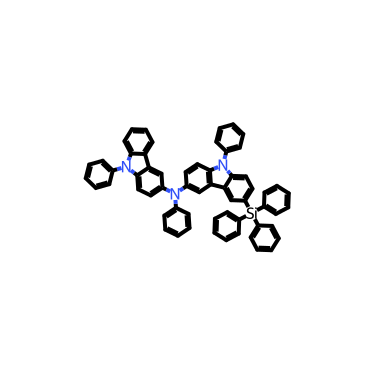 c1ccc(N(c2ccc3c(c2)c2ccccc2n3-c2ccccc2)c2ccc3c(c2)c2cc([Si](c4ccccc4)(c4ccccc4)c4ccccc4)ccc2n3-c2ccccc2)cc1